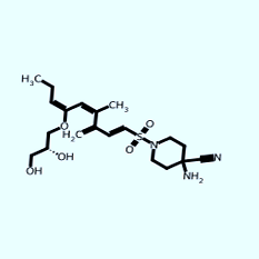 C=C(/C=C/S(=O)(=O)N1CCC(N)(C#N)CC1)/C(C)=C\C(=C/CC)OC[C@H](O)CO